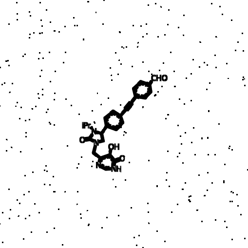 CC(C)N1C(=O)N(Cc2nc[nH]c(=O)c2O)CC1c1ccc(C#Cc2ccc(C=O)cc2)cc1